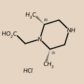 C[C@@H]1CNC[C@H](C)N1CC(=O)O.Cl